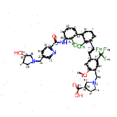 COc1cc(/C=C/c2cccc(-c3cccc(NC(=O)c4ccc(CN5CC[C@@H](O)C5)cn4)c3Cl)c2Cl)c(C(F)(F)F)cc1CN1CC[C@@H](C(=O)O)C1